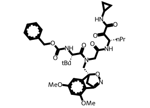 CCC[C@H](NC(=O)CN(C[C@@]12CC(=NO1)c1c(OC)cc(OC)cc12)C(=O)[C@@H](NC(=O)OCc1ccccc1)C(C)(C)C)C(=O)C(=O)NC1CC1